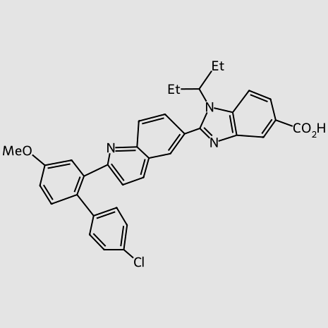 CCC(CC)n1c(-c2ccc3nc(-c4cc(OC)ccc4-c4ccc(Cl)cc4)ccc3c2)nc2cc(C(=O)O)ccc21